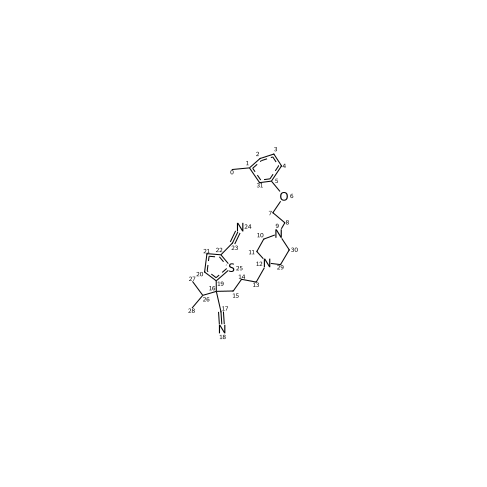 Cc1cccc(OCCN2CCN(CCCC(C#N)(c3ccc(C#N)s3)C(C)C)CC2)c1